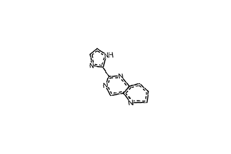 c1cnc2cnc(-c3ncc[nH]3)nc2c1